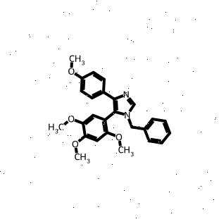 COc1ccc(-c2ncn(Cc3ccccc3)c2-c2cc(OC)c(OC)cc2OC)cc1